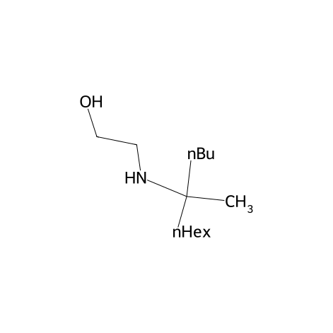 CCCCCCC(C)(CCCC)NCCO